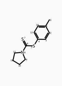 Cc1ccc(SC(=S)N2CCCC2)cc1